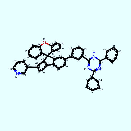 c1ccc(C2=NC(c3ccccc3)NC(c3cccc(-c4ccc5c(c4)C4(c6ccccc6Oc6ccccc64)c4cc(-c6cccnc6)ccc4-5)c3)=N2)cc1